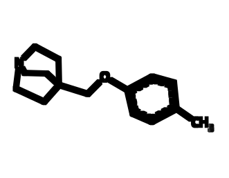 Cc1ccc(OCC23CCN(CC2)CC3)cc1